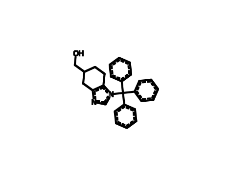 OCC1CCc2c(ncn2C(c2ccccc2)(c2ccccc2)c2ccccc2)C1